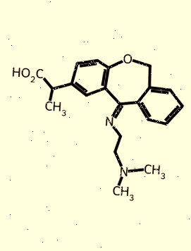 CC(C(=O)O)c1ccc2c(c1)/C(=N/CCN(C)C)c1ccccc1CO2